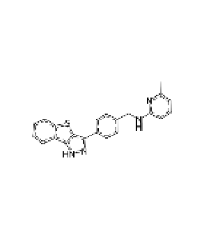 Cc1cccc(NCc2ccc(-c3n[nH]c4c3sc3ccccc34)cc2)n1